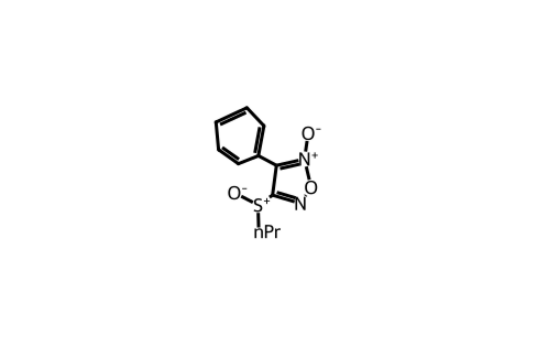 CCC[S+]([O-])c1no[n+]([O-])c1-c1ccccc1